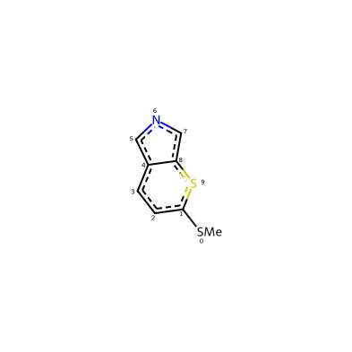 CSc1ccc2cncc-2s1